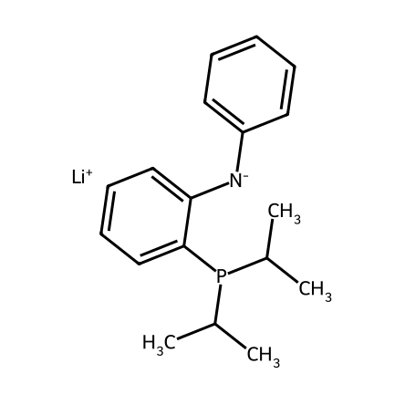 CC(C)P(c1ccccc1[N-]c1ccccc1)C(C)C.[Li+]